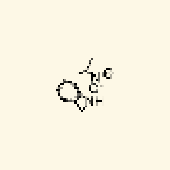 CC(C)[N+](=O)[O-].c1ccc2c(c1)CN2